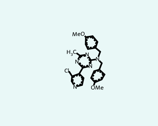 COc1ccc(CN(Cc2ccc(OC)cc2)c2nc(C)nc(-c3ccncc3Cl)n2)cc1